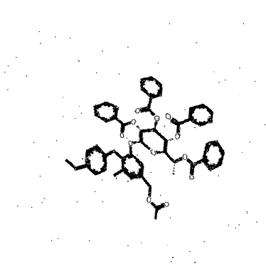 CCc1ccc(Cc2c(C)cc(COC(C)=O)cc2O[C@@H]2O[C@H]([C@@H](C)OC(=O)c3ccccc3)[C@@H](OC(=O)c3ccccc3)[C@H](OC(=O)c3ccccc3)[C@H]2OC(=O)c2ccccc2)cc1